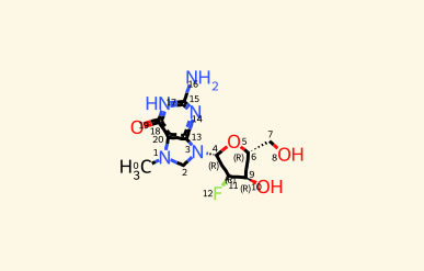 CN1CN([C@@H]2O[C@H](CO)[C@@H](O)[C@H]2F)c2nc(N)[nH]c(=O)c21